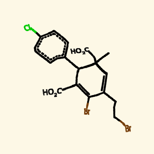 CC1(C(=O)O)C=C(CCBr)C(Br)=C(C(=O)O)C1c1ccc(Cl)cc1